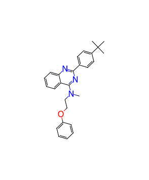 CN(CCOc1ccccc1)c1nc(-c2ccc(C(C)(C)C)cc2)nc2ccccc12